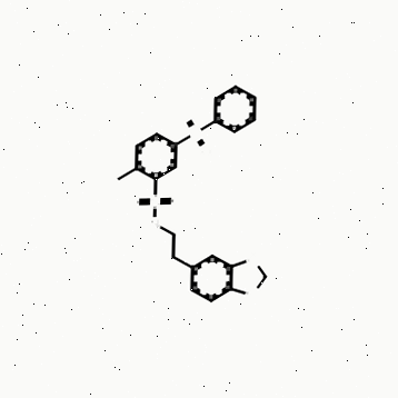 Cc1ccc(S(=O)(=O)c2ccccc2)cc1S(=O)(=O)NCCc1ccc2c(c1)OCO2